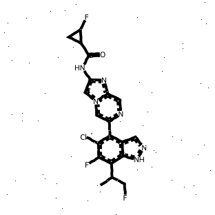 CC(CF)c1c(F)c(Cl)c(-c2cn3cc(NC(=O)C4CC4F)nc3cn2)c2cn[nH]c12